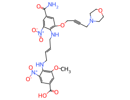 COc1cc(C(=O)O)cc([N+](=O)[O-])c1NCC=CCNc1c(OCC#CCN2CCOCC2)cc(C(N)=O)cc1[N+](=O)[O-]